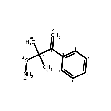 C=C(c1ccccc1)C(C)(C)SN